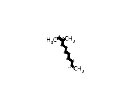 CC=C(C)CCC=CCCCC